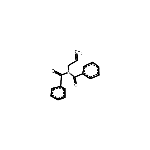 C=CCN(C(=O)c1ccccc1)C(=O)c1ccccc1